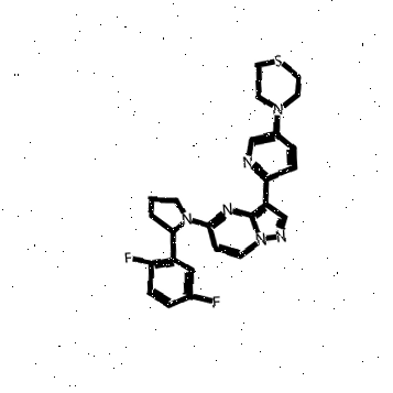 Fc1ccc(F)c(C2CCCN2c2ccn3ncc(-c4ccc(N5CCSCC5)cn4)c3n2)c1